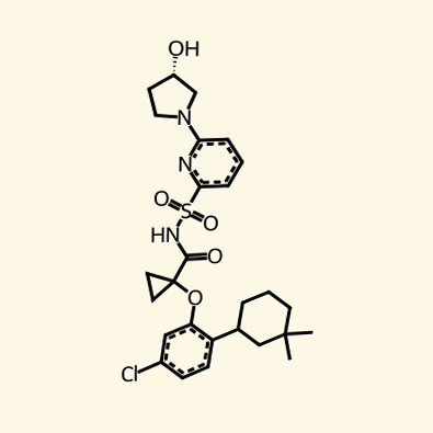 CC1(C)CCCC(c2ccc(Cl)cc2OC2(C(=O)NS(=O)(=O)c3cccc(N4CC[C@H](O)C4)n3)CC2)C1